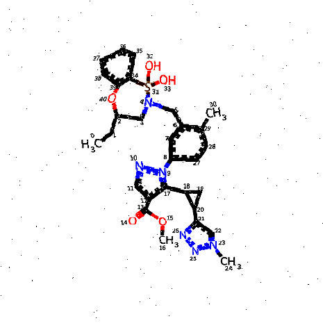 CCC1CN(Cc2cc(-n3ncc(C(=O)OC)c3C3CC3c3cn(C)nn3)ccc2C)S(O)(O)c2ccccc2O1